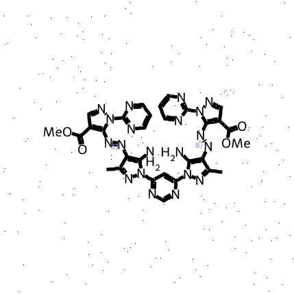 COC(=O)c1cnn(-c2ncccn2)c1/N=N/c1c(C)nn(-c2cc(-n3nc(C)c(/N=N/c4c(C(=O)OC)cnn4-c4ncccn4)c3N)ncn2)c1N